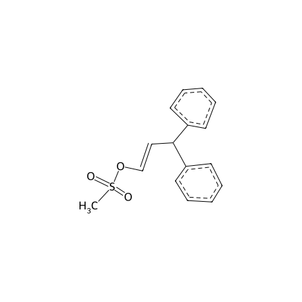 CS(=O)(=O)OC=CC(c1ccccc1)c1ccccc1